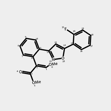 CO/C=C(/C(=O)OC)c1ccccc1-c1cc(-c2ccccc2F)on1